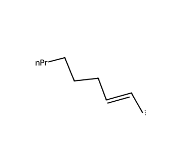 [C]C=CCCCCCC